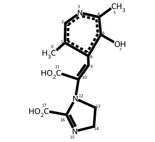 Cc1cnc(C)c(O)c1C=C(C(=O)O)N1CCN=C1C(=O)O